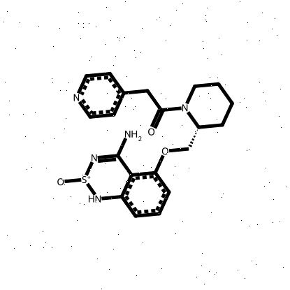 NC1=N[S+]([O-])Nc2cccc(OC[C@H]3CCCCN3C(=O)Cc3ccncc3)c21